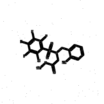 CC(C)(C)OC(=O)CN(Cc1ccccc1C#N)S(=O)(=O)c1c(F)c(F)c(F)c(F)c1Cl